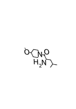 COC1CCN(C(=O)[C@@H](N)CC(C)C)CC1